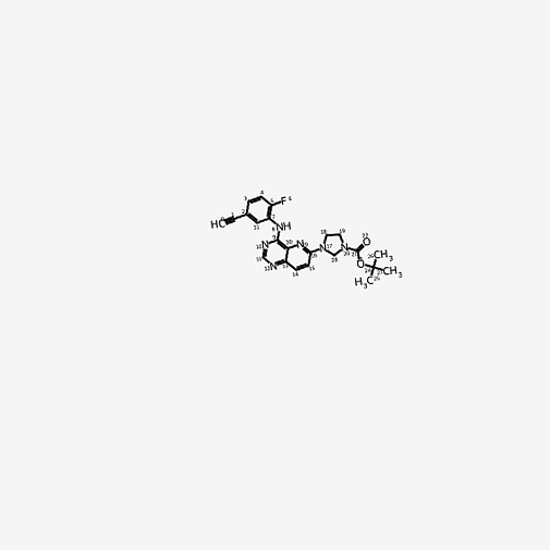 C#Cc1ccc(F)c(Nc2ncnc3ccc(N4CCN(C(=O)OC(C)(C)C)C4)nc23)c1